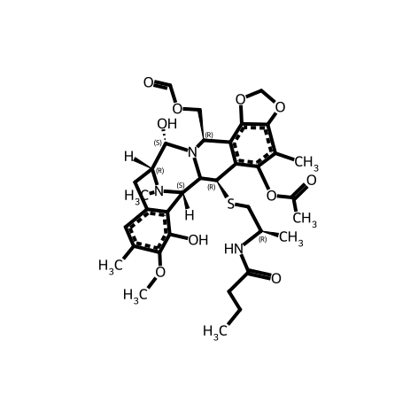 CCCC(=O)N[C@H](C)CS[C@@H]1c2c(OC(C)=O)c(C)c3c(c2[C@H](COC=O)N2C1[C@@H]1c4c(cc(C)c(OC)c4O)C[C@H]([C@@H]2O)N1C)OCO3